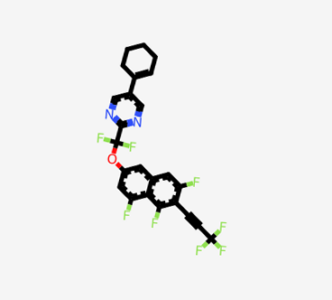 Fc1cc2cc(OC(F)(F)c3ncc(C4=CCCCC4)cn3)cc(F)c2c(F)c1C#CC(F)(F)F